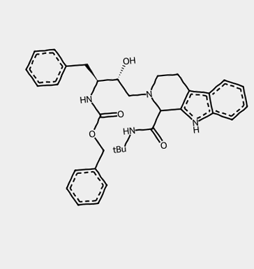 CC(C)(C)NC(=O)C1c2[nH]c3ccccc3c2CCN1C[C@@H](O)[C@H](Cc1ccccc1)NC(=O)OCc1ccccc1